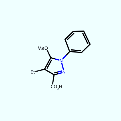 CCc1c(C(=O)O)nn(-c2ccccc2)c1OC